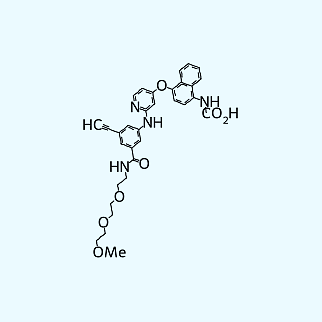 C#Cc1cc(Nc2cc(Oc3ccc(NC(=O)O)c4ccccc34)ccn2)cc(C(=O)NCCOCCOCCOC)c1